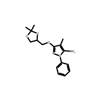 Cc1c(OCC2COC(C)(C)O2)nn(-c2ccccc2)c1N